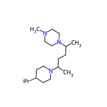 CC(C)C1CCN(C(C)CCC(C)N2CCN(C)CC2)CC1